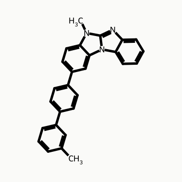 Cc1cccc(-c2ccc(-c3ccc4c(c3)n3c5ccccc5nc3n4C)cc2)c1